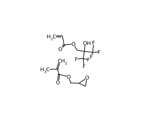 C=C(C)C(=O)OCC1CO1.C=CC(=O)OCC(O)(C(F)(F)F)C(F)(F)F